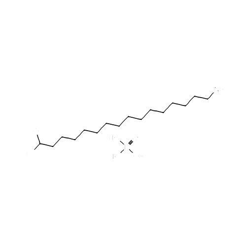 O=P(O)(O)O.OC(O)CCCCCCCCCCCCCC[CH2][Na]